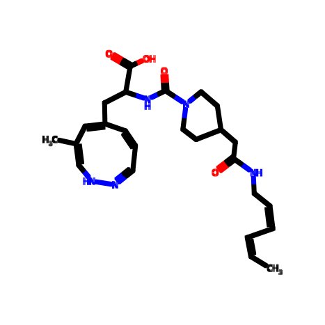 C/C=C\C=C/CNC(=O)CC1CCN(C(=O)NC(Cc2cccn[nH]cc(C)c2)C(=O)O)CC1